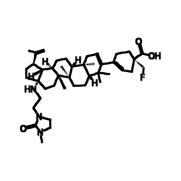 C=C(C)[C@@H]1CC[C@]2(NCCN3CCN(C)C3=O)CC[C@]3(C)[C@H](CC[C@@H]4[C@@]5(C)CC=C(C6=CC[C@](CF)(C(=O)O)CC6)C(C)(C)[C@@H]5CC[C@]43C)[C@@H]12